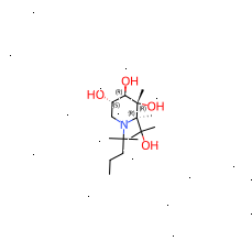 CCCC(C)(C)N1C[C@H](O)[C@@H](O)[C@](C)(O)[C@@]1(C)C(C)(C)O